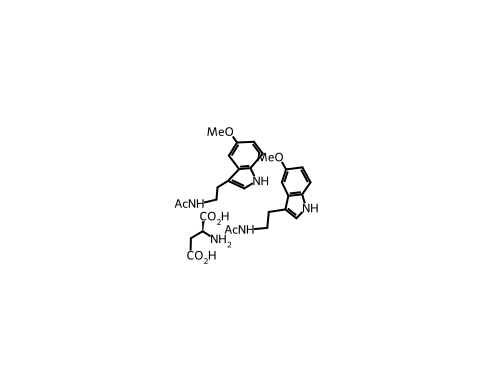 COc1ccc2[nH]cc(CCNC(C)=O)c2c1.COc1ccc2[nH]cc(CCNC(C)=O)c2c1.N[C@@H](CC(=O)O)C(=O)O